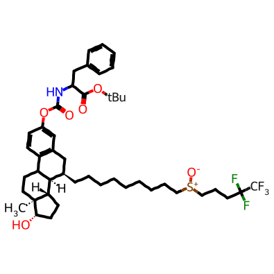 CC(C)(C)OC(=O)C(Cc1ccccc1)NC(=O)Oc1ccc2c(c1)C[C@@H](CCCCCCCCC[S+]([O-])CCCC(F)(F)C(F)(F)F)[C@@H]1C2CC[C@]2(C)[C@@H](O)CC[C@@H]12